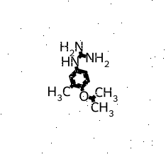 Cc1cc(NC(N)N)ccc1OC(C)C